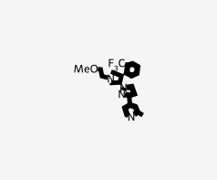 COCCN1C[C@@H](n2ccc(-c3ccnc(C)c3)n2)[C@H](c2ccccc2C(F)(F)F)C1